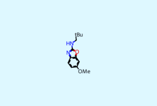 COc1ccc2nc(NCC(C)(C)C)oc2c1